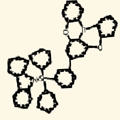 c1ccc([Si](c2ccccc2)(c2cccc(-c3cc4c5c(c3)Oc3ccccc3B5c3ccccc3O4)c2)n2c3ccccc3c3ccccc32)cc1